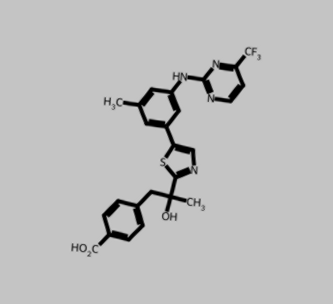 Cc1cc(Nc2nccc(C(F)(F)F)n2)cc(-c2cnc(C(C)(O)Cc3ccc(C(=O)O)cc3)s2)c1